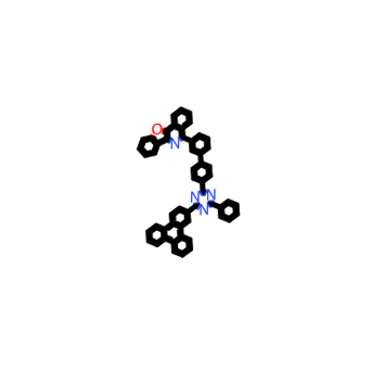 c1ccc(-c2nc(-c3ccc(-c4cccc(-c5nc6c7ccccc7oc6c6ccccc56)c4)cc3)nc(-c3ccc4c5ccccc5c5ccccc5c4c3)n2)cc1